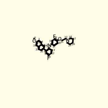 COc1ccc2cc(-c3cc(F)ccc3Nc3ccc(OCCN4CCCCC4)c(F)c3)ccc2c1